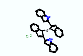 C1=C(c2cc3ccccc3[nH]2)[CH]([Hf+2][CH]2C(c3cc4ccccc4[nH]3)=Cc3ccccc32)c2ccccc21.[Cl-].[Cl-]